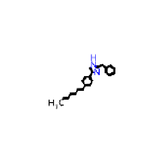 CCCCCCCc1ccc(-c2c[nH]c(Cc3ccccc3)n2)cc1